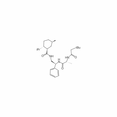 CC(C)[C@@H]1CC[C@@H](C)C[C@H]1C(=O)NC[C@@H](NC(=O)[C@@H](C)NC(=O)CC(C)(C)C)c1ccccc1